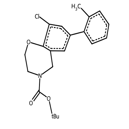 Cc1ccccc1-c1cc(Cl)c2c(c1)CN(C(=O)OC(C)(C)C)CCO2